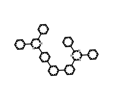 c1ccc(-c2cc(-c3ccccc3)nc(-c3ccc(-c4cccc(-c5cccc(-c6nc(-c7ccccc7)nc(-c7ccccc7)n6)c5)c4)cc3)n2)cc1